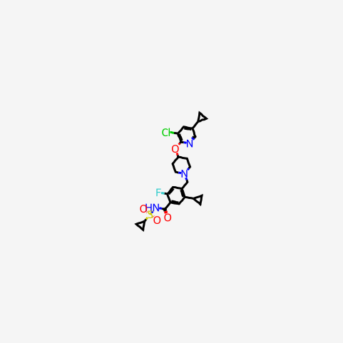 O=C(NS(=O)(=O)C1CC1)c1cc(C2CC2)c(CN2CCC(Oc3ncc(C4CC4)cc3Cl)CC2)cc1F